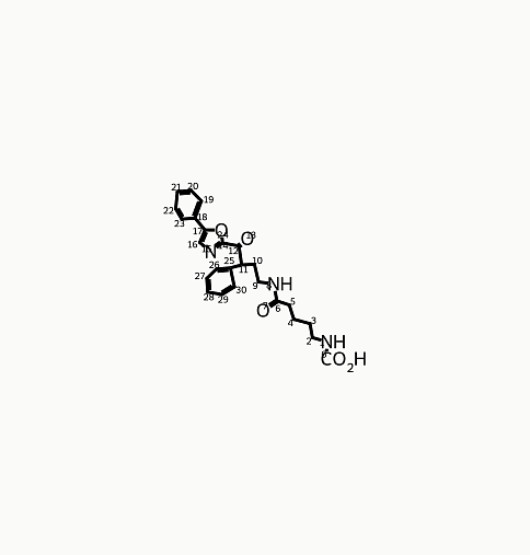 O=C(O)NCCCCC(=O)NCCC(C(=O)c1ncc(-c2ccccc2)o1)c1ccccc1